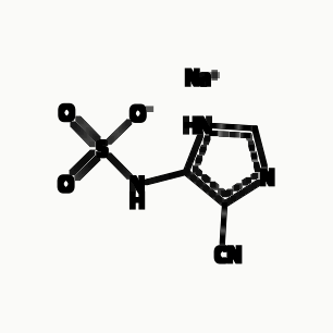 N#Cc1nc[nH]c1NS(=O)(=O)[O-].[Na+]